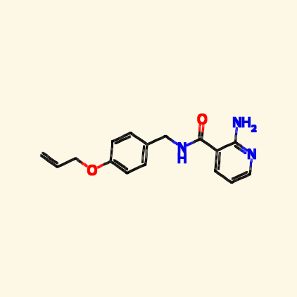 C=CCOc1ccc(CNC(=O)c2cccnc2N)cc1